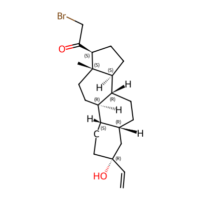 C=C[C@@]1(O)CC[C@H]2[C@H](CC[C@@H]3[C@@H]2CC[C@]2(C)[C@@H](C(=O)CBr)CC[C@@H]32)C1